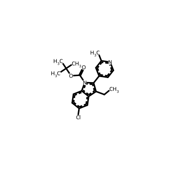 CCc1c(-c2ccnc(C)c2)n(C(=O)OC(C)(C)C)c2ccc(Cl)cc12